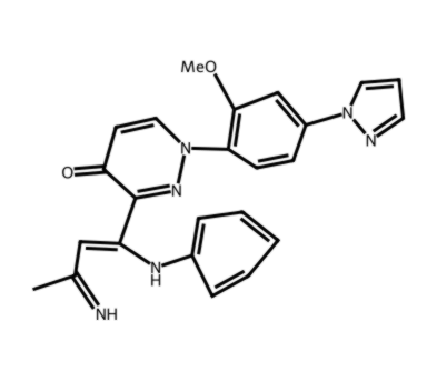 COc1cc(-n2cccn2)ccc1-n1ccc(=O)c(/C(=C/C(C)=N)Nc2ccccc2)n1